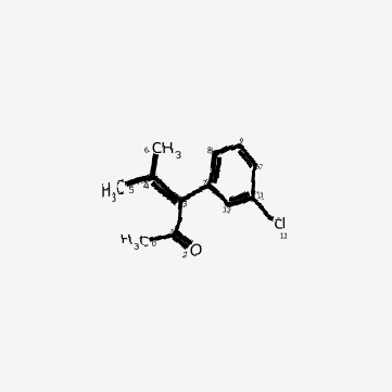 CC(=O)C(=C(C)C)c1cccc(Cl)c1